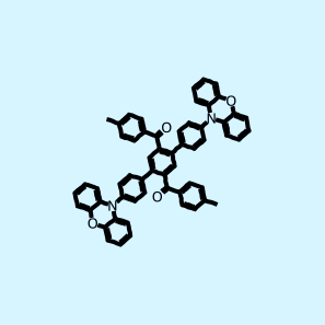 Cc1ccc(C(=O)c2cc(-c3ccc(N4c5ccccc5Oc5ccccc54)cc3)c(C(=O)c3ccc(C)cc3)cc2-c2ccc(N3c4ccccc4Oc4ccccc43)cc2)cc1